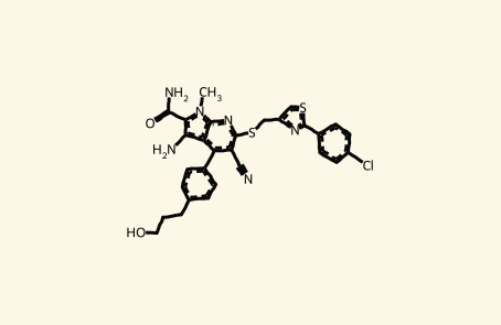 Cn1c(C(N)=O)c(N)c2c(-c3ccc(CCCO)cc3)c(C#N)c(SCc3csc(-c4ccc(Cl)cc4)n3)nc21